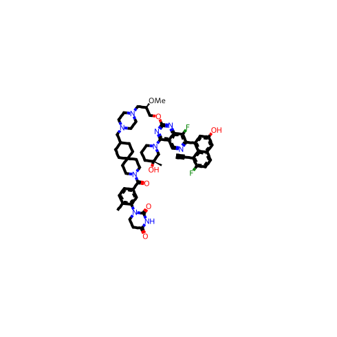 C#Cc1c(F)ccc2cc(O)cc(-c3ncc4c(N5CCC[C@@](C)(O)C5)nc(OC[C@@H](CN5CCN(CC6CCC7(CC6)CCN(C(=O)c6ccc(C)c(N8CCC(=O)NC8=O)c6)CC7)CC5)OC)nc4c3F)c12